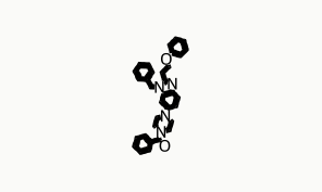 O=C(c1ccccc1)N1CCN(c2ccc3nc(CCOc4ccccc4)n(Cc4ccccc4)c3c2)CC1